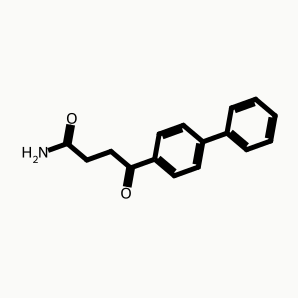 NC(=O)CCC(=O)c1ccc(-c2ccccc2)cc1